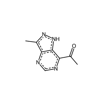 CC(=O)c1ncnc2c(C)n[nH]c12